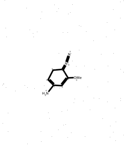 COC1=CC(N)=CCC1=[N+]=[N-]